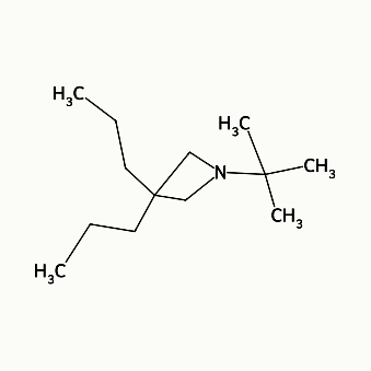 CCCC1(CCC)CN(C(C)(C)C)C1